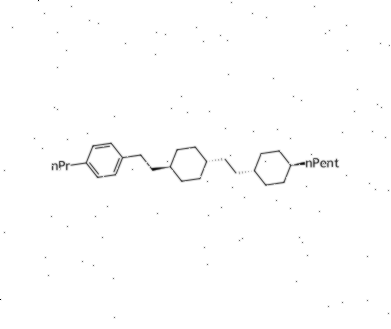 CCCCC[C@H]1CC[C@H](CC[C@H]2CC[C@H](CCc3ccc(CCC)cc3)CC2)CC1